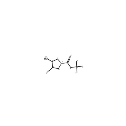 CC(C)(C)CC(=O)N1CC(O)C(F)C1